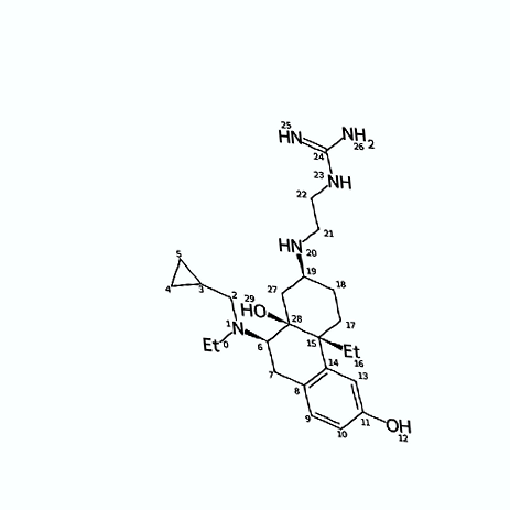 CCN(CC1CC1)[C@@H]1Cc2ccc(O)cc2[C@@]2(CC)CC[C@H](NCCNC(=N)N)C[C@@]12O